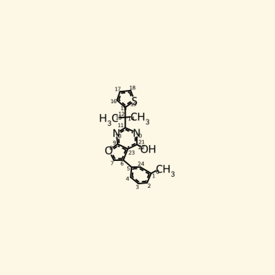 Cc1cccc(-c2coc3nc(C(C)(C)c4cccs4)nc(O)c23)c1